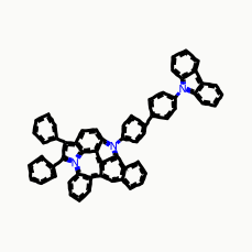 c1ccc(-c2c(-c3ccccc3)n3c4ccccc4c4cc5ccccc5c5c4c4c(ccc2c43)n5-c2ccc(-c3ccc(-n4c5ccccc5c5ccccc54)cc3)cc2)cc1